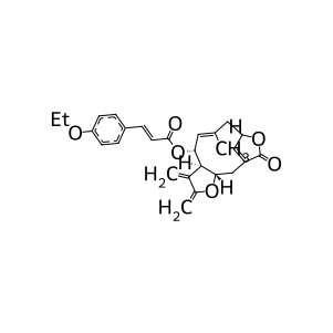 C=C1O[C@H]2CC3=C[C@@H](C/C(C)=C/[C@@H](OC(=O)/C=C/c4ccc(OCC)cc4)[C@@H]2C1=C)OC3=O